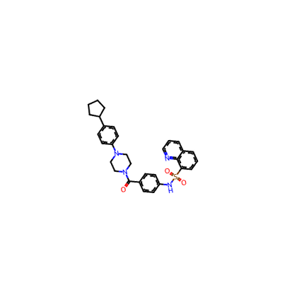 O=C(c1ccc(NS(=O)(=O)c2cccc3cccnc23)cc1)N1CCN(c2ccc(C3CCCC3)cc2)CC1